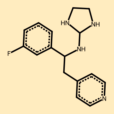 Fc1cccc(C(Cc2ccncc2)NC2NCCN2)c1